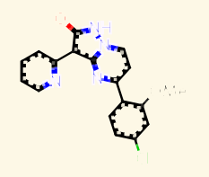 COc1cc(Cl)ccc1-c1ccn2[nH]c(=O)c(-c3ccccn3)c2n1